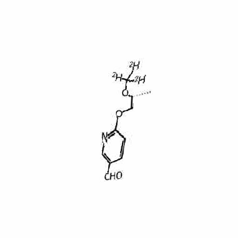 [2H]C([2H])([2H])O[C@H](C)COc1ccc(C=O)cn1